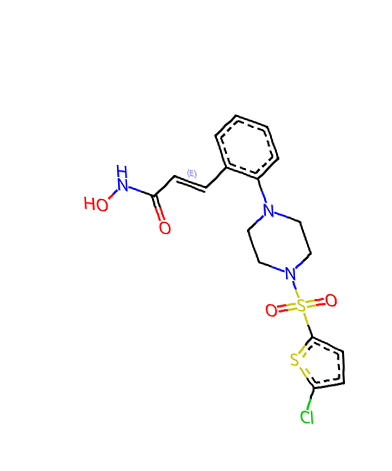 O=C(/C=C/c1ccccc1N1CCN(S(=O)(=O)c2ccc(Cl)s2)CC1)NO